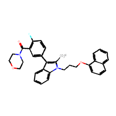 O=C(O)c1c(-c2ccc(F)c(C(=O)N3CCOCC3)c2)c2ccccc2n1CCCOc1cccc2ccccc12